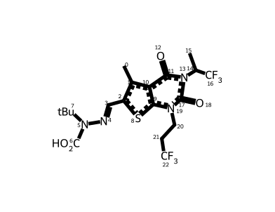 Cc1c(C=NN(C(=O)O)C(C)(C)C)sc2c1c(=O)n(C(C)C(F)(F)F)c(=O)n2CCC(F)(F)F